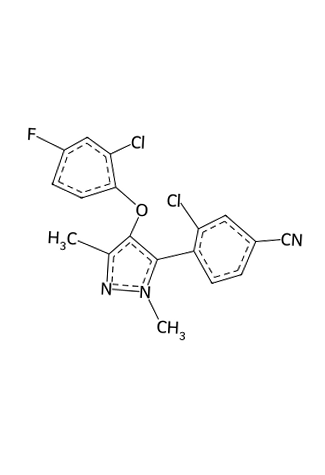 Cc1nn(C)c(-c2ccc(C#N)cc2Cl)c1Oc1ccc(F)cc1Cl